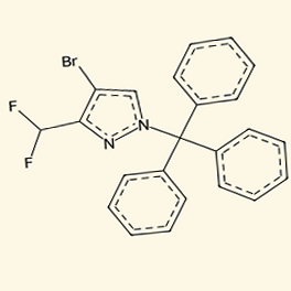 FC(F)c1nn(C(c2ccccc2)(c2ccccc2)c2ccccc2)cc1Br